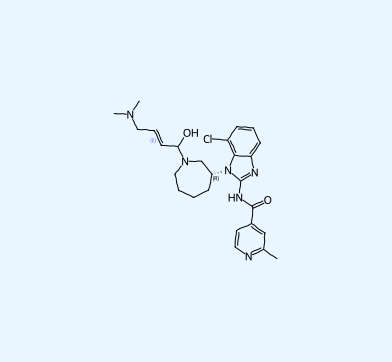 Cc1cc(C(=O)Nc2nc3cccc(Cl)c3n2[C@@H]2CCCCN(C(O)/C=C/CN(C)C)C2)ccn1